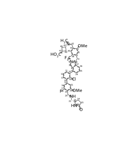 COc1cc(Cn2ncc3c(-c4cccc(-c5cc(F)c(CNC[C@@H]6CCC(=O)N6)c(OC)c5)c4Cl)cccc32)c(C(F)(F)F)cc1CN(C)[C@H]1C[C@H](C(=O)O)C1